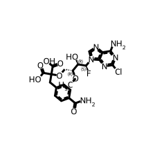 CO[C@H](COC(Cc1ccc(C(N)=O)cc1)(C(=O)O)C(=O)O)[C@@H](O)[C@H](F)n1cnc2c(N)nc(Cl)nc21